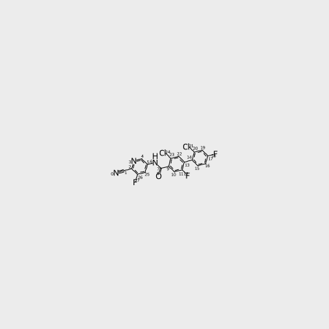 N#Cc1ncc(NC(=O)c2cc(F)c(-c3ccc(F)cc3Cl)cc2Cl)cc1F